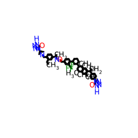 C=C(c1ccc(-n2nn[nH]c2=O)cc1)c1cc2c(cc1C)C(C)(C)CC(C1CCCC(c3ccc(CO/N=C(\C)c4ccc(CN5CC(n6nn[nH]c6=O)C5)c(CC)c4)cc3C(F)(F)F)C1)C2(C)C